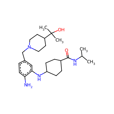 CC(C)NC(=O)C1CCC(Nc2cc(CN3CCC(C(C)(C)O)CC3)ccc2N)CC1